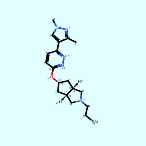 Cc1nn(C)cc1-c1ccc(O[C@H]2C[C@@H]3CN(CCC(C)(C)C)C[C@@H]3C2)nn1